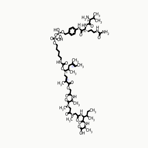 C/C=C(\C)C[C@@H](C)[C@H](C/C=C(\C)C(=O)OCC(=O)N[C@@H](C)C(=O)N(C)CC(=O)N(C)CC(=O)NC(C(=O)N[C@H](C)C(=O)O)C(C)CC)OC(=O)NCCCCCOP(=O)(O)OP(=O)(O)OCc1ccc(NC(=O)[C@@H](CCCNC(N)=O)NC(=O)[C@H](N)C(C)C)cc1